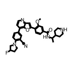 COc1cc(C(=O)NC(C)C2CCNCC2)ccc1-c1cc2nccc(-c3ccc(N4CCC(F)C4)c(C#N)c3)c2o1